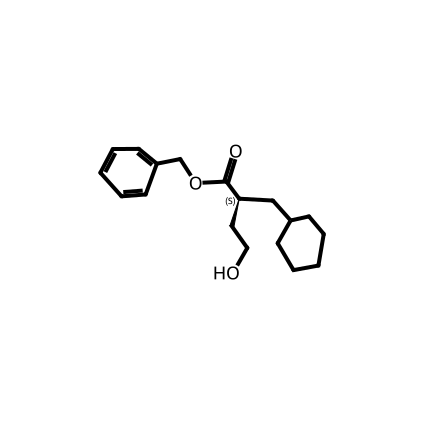 O=C(OCc1ccccc1)[C@H](CCO)CC1CCCCC1